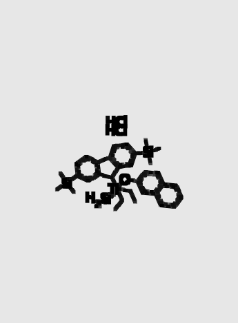 C[CH2][Ti](=[SiH2])([CH2]C)([O]c1ccc2ccccc2c1)[CH]1c2cc([Si](C)(C)C)ccc2-c2ccc([Si](C)(C)C)cc21.Cl.Cl